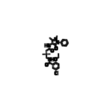 CCOc1ccc(Cl)cc1C(=O)NCC(C)(C)CC(=O)Nc1c(C)n(C)n(-c2ccccc2)c1=O